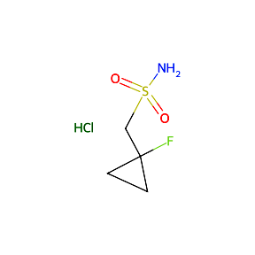 Cl.NS(=O)(=O)CC1(F)CC1